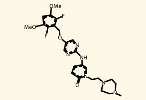 COc1cc(OC)c(F)c(COc2cnc(Nc3ccc(=O)n(CCN4CCN(C)CC4)c3)nc2)c1F